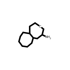 NC1CCCCC2CCCCCCC2C1